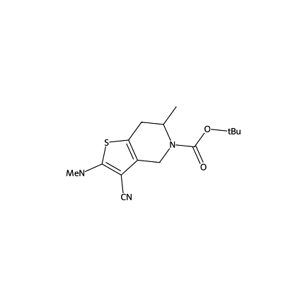 CNc1sc2c(c1C#N)CN(C(=O)OC(C)(C)C)C(C)C2